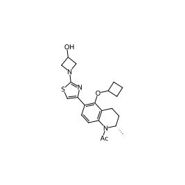 CC(=O)N1c2ccc(-c3csc(N4CC(O)C4)n3)c(OC3CCC3)c2CC[C@@H]1C